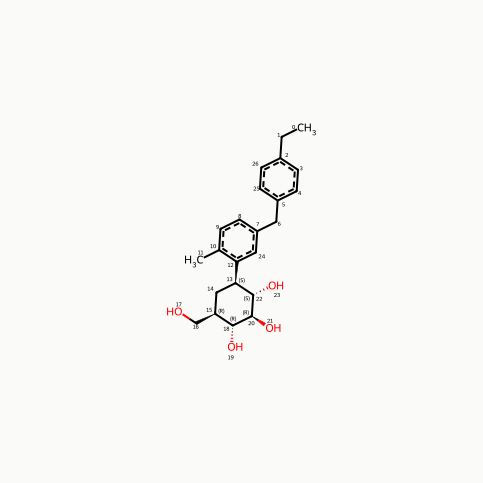 CCc1ccc(Cc2ccc(C)c([C@@H]3C[C@H](CO)[C@@H](O)[C@H](O)[C@H]3O)c2)cc1